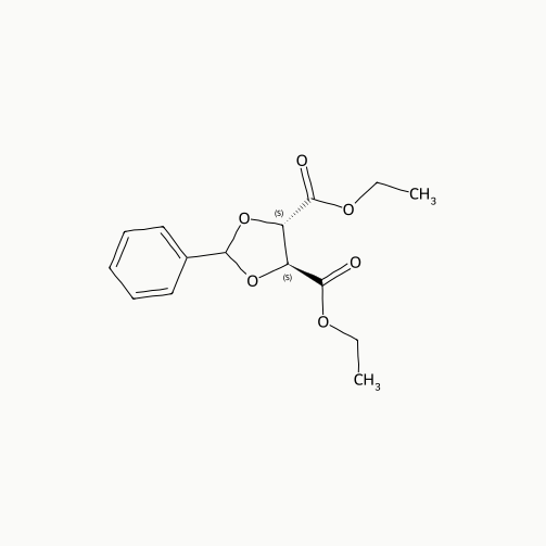 CCOC(=O)[C@H]1OC(c2ccccc2)O[C@@H]1C(=O)OCC